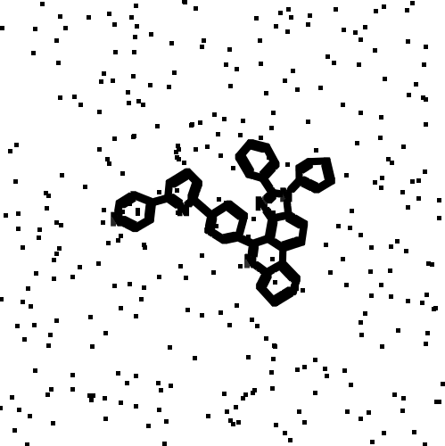 c1ccc(-c2nc3c4c(-c5ccc(-c6cccc(-c7ccncc7)n6)cc5)nc5ccccc5c4ccc3n2-c2ccccc2)cc1